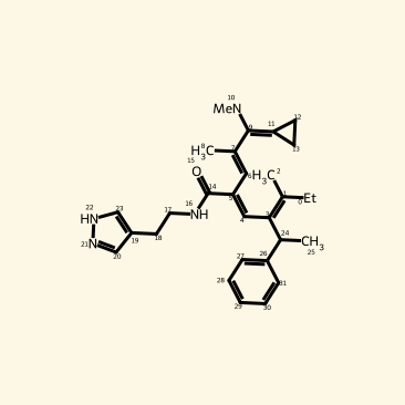 CC/C(C)=C(/C=C(\C=C(/C)C(NC)=C1CC1)C(=O)NCCc1cn[nH]c1)C(C)c1ccccc1